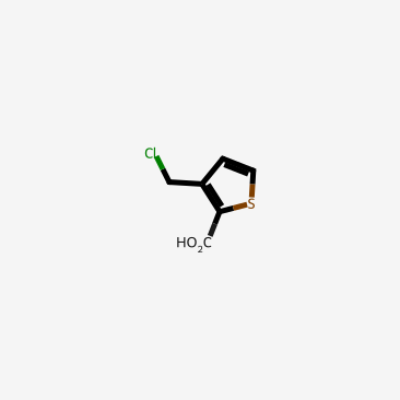 O=C(O)c1sccc1CCl